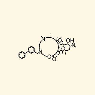 CO[C@]1(C)C[C@@H](C)CN(C)CCCN(Cc2cccc(-c3ccccc3)c2)CCOC(=O)C(C)(C)C(=O)[C@H](C)[C@H]1O[C@@H]1O[C@H](C)C[C@H](N(C)C)[C@H]1O